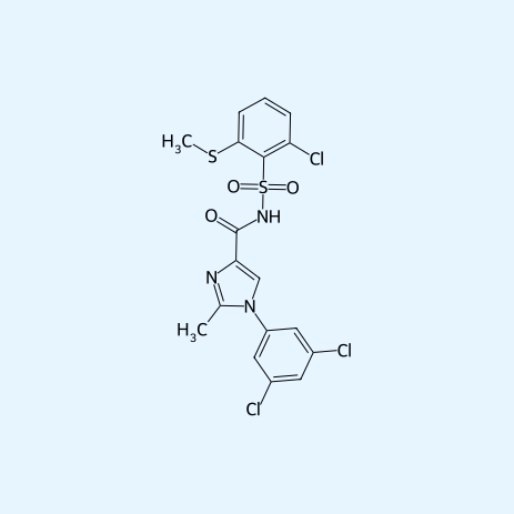 CSc1cccc(Cl)c1S(=O)(=O)NC(=O)c1cn(-c2cc(Cl)cc(Cl)c2)c(C)n1